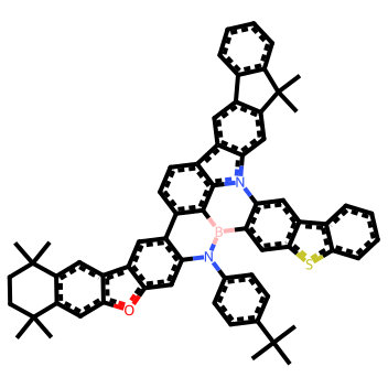 CC(C)(C)c1ccc(N2B3c4cc5sc6ccccc6c5cc4-n4c5cc6c(cc5c5ccc(c3c54)-c3cc4c(cc32)oc2cc3c(cc24)C(C)(C)CCC3(C)C)-c2ccccc2C6(C)C)cc1